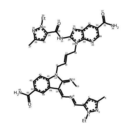 CCn1nc(C)cc1/C=N/C=C1\C(=N/C)N(C/C=C/Cn2c(NC(=O)c3cc(C)nn3CC)nc3cc(C(N)=O)cnc32)c2ccc(C(N)=O)cc21